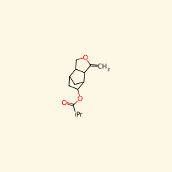 C=C1OCC2C3CC(OC(=O)C(C)C)C(C3)C12